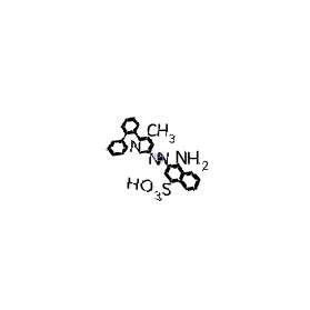 Cc1cc(/N=N/c2cc(S(=O)(=O)O)c3ccccc3c2N)cnc1-c1ccccc1-c1ccccc1